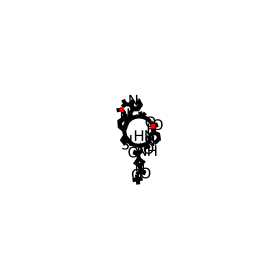 CCn1c(-c2cccnc2C(C)C)c2c3cc(ccc31)-c1csc(n1)C[C@H](NC(=O)C1CN(C(=O)OC(C)(C)C)C1)C(=O)N1CCC[C@H](N1)C(=O)OCC(C)(C)C2